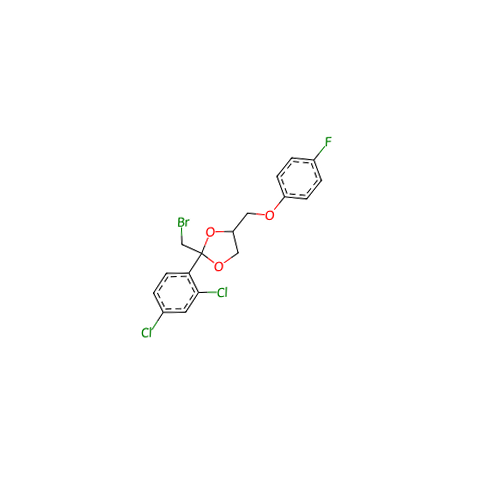 Fc1ccc(OCC2COC(CBr)(c3ccc(Cl)cc3Cl)O2)cc1